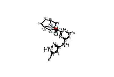 Cc1cc(Nc2cc(C)[nH]n2)nc(N2CC3CCC(C2)N3C=O)n1